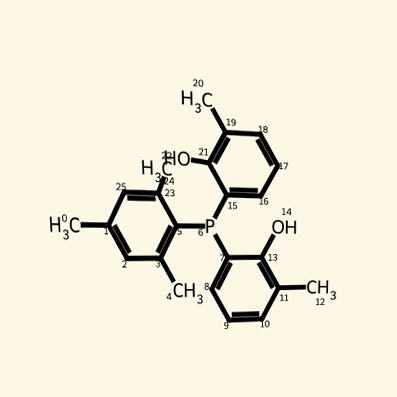 Cc1cc(C)c(P(c2cccc(C)c2O)c2cccc(C)c2O)c(C)c1